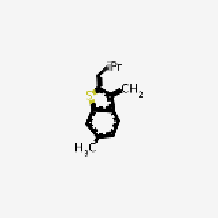 C=c1/c(=C\C(C)C)sc2cc(C)ccc12